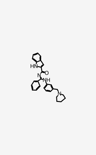 O=C(N=C(Nc1cccc(CN2CCCCC2)c1)c1ccccc1)c1cc2ccccc2[nH]1